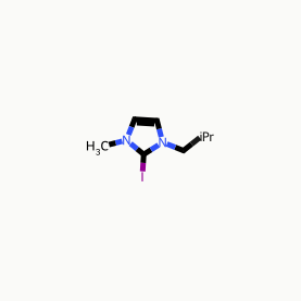 CC(C)CN1C=CN(C)C1I